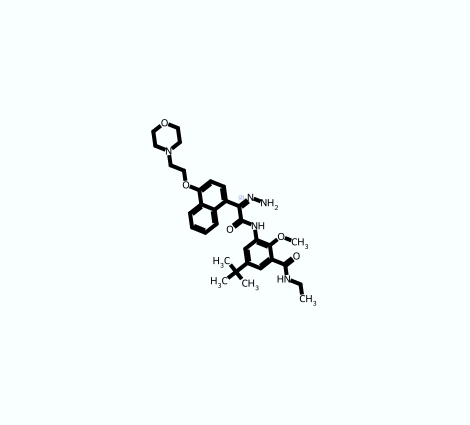 CCNC(=O)c1cc(C(C)(C)C)cc(NC(=O)/C(=N\N)c2ccc(OCCN3CCOCC3)c3ccccc23)c1OC